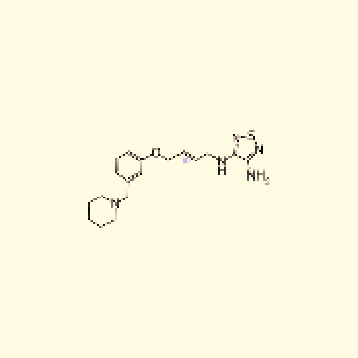 Nc1nsnc1NC/C=C/COc1cccc(CN2CCCCC2)c1